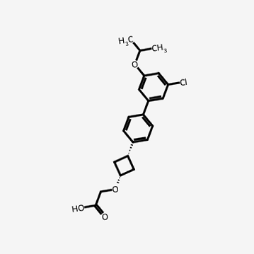 CC(C)Oc1cc(Cl)cc(-c2ccc([C@H]3C[C@@H](OCC(=O)O)C3)cc2)c1